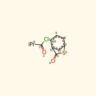 CC(C)C(=O)Cl.O=C1Sc2cccc1c2